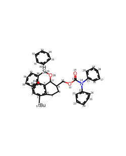 CC(C)(C)c1cccc2c1CCC(COC(=O)N(c1ccccc1)c1ccccc1)C2O[SiH](c1ccccc1)c1ccccc1